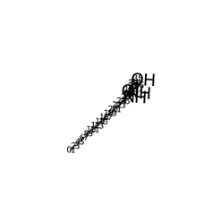 CCCCCCCCCCCCCCCCCCCCCCCCCCCNC(=O)Nc1ccc(O)cc1